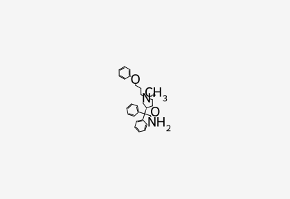 C[N+]1(CCCOc2ccccc2)CC[C@@H](C(C(N)=O)(c2ccccc2)c2ccccc2)C1